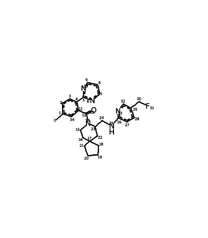 Cc1ccc(-c2ncccn2)c(C(=O)N2CCC3(CCCC3)CC2CNc2ccc(CF)cn2)c1